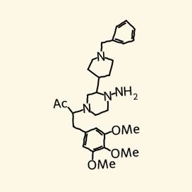 COc1cc(CC(C(C)=O)N2CCN(N)C(C3CCN(Cc4ccccc4)CC3)C2)cc(OC)c1OC